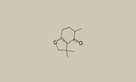 CC1CCC2=C(C1=O)C(C)(C)CO2